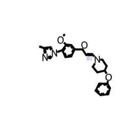 COc1cc(C(=O)/C=C/N2CCC(Oc3ccccc3)CC2)ccc1-n1cnc(C)c1